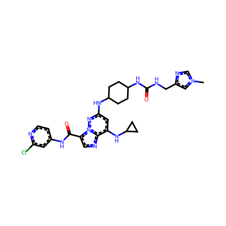 Cn1cnc(CNC(=O)NC2CCC(Nc3cc(NC4CC4)c4ncc(C(=O)Nc5ccnc(Cl)c5)n4n3)CC2)c1